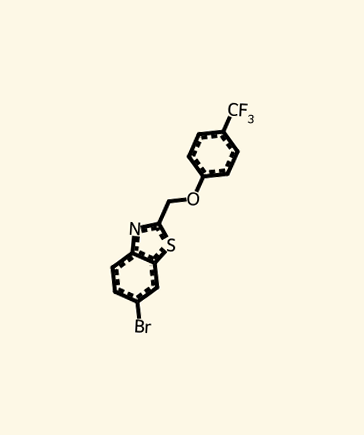 FC(F)(F)c1ccc(OCc2nc3ccc(Br)cc3s2)cc1